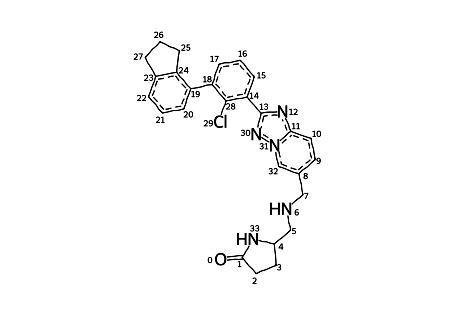 O=C1CCC(CNCc2ccc3nc(-c4cccc(-c5cccc6c5CCC6)c4Cl)nn3c2)N1